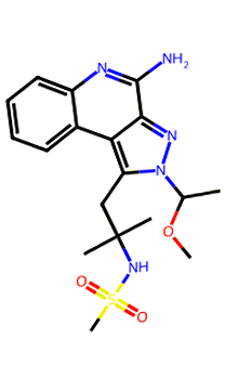 COC(C)n1nc2c(N)nc3ccccc3c2c1CC(C)(C)NS(C)(=O)=O